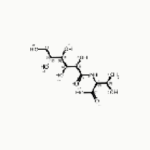 C[C@@H](O)[C@H](NC(=O)[C@H](O)[C@@H](O)[C@H](O)[C@H](O)CO)C(=O)O